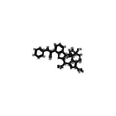 Cc1cc(C(C)N2Cc3c(ccnc3C(=O)Oc3ccccc3)C2=O)n2c1OCC(F)(F)C2(F)F